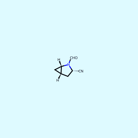 N#C[C@@H]1C[C@@H]2C[C@@H]2N1C=O